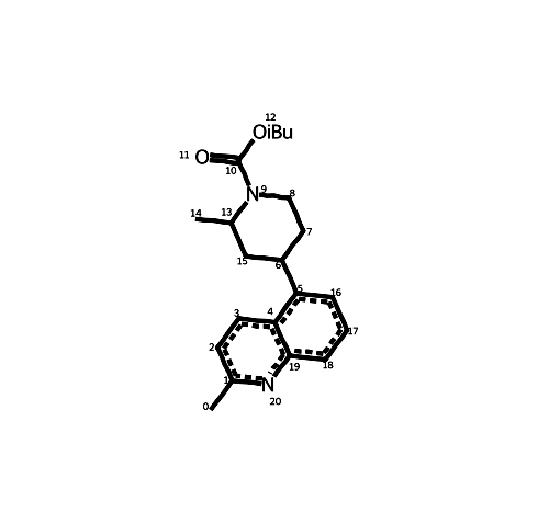 Cc1ccc2c(C3CCN(C(=O)OCC(C)C)C(C)C3)cccc2n1